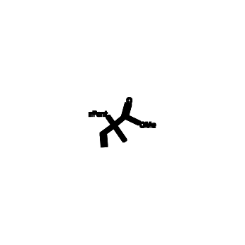 C=CC(C)(CCCCC)C(=O)OC